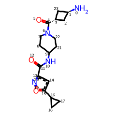 N[C@H]1C[C@H](C(=O)N2CCC(NC(=O)c3cc(C4CC4)on3)CC2)C1